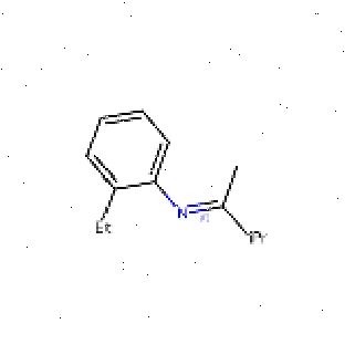 CCc1ccccc1/N=C(\C)C(C)C